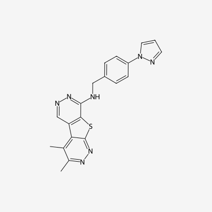 Cc1nnc2sc3c(NCc4ccc(-n5cccn5)cc4)nncc3c2c1C